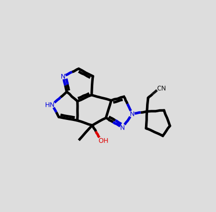 CC1(O)c2nn(C3(CC#N)CCCC3)cc2-c2ccnc3[nH]cc1c23